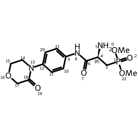 COP(=O)(C[C@H](N)C(=O)Nc1ccc(N2CCOCC2=O)cc1)OC